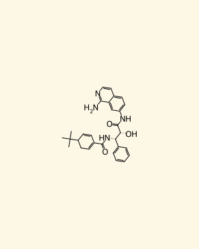 CC(C)(C)C1C=CC(C(=O)N[C@@H](c2ccccc2)[C@@H](O)C(=O)Nc2ccc3ccnc(N)c3c2)=CC1